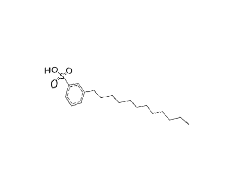 CCCCCCCCCCCCc1cccc(S(=O)(=O)O)c1